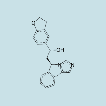 O[C@H](C[C@@H]1c2ccccc2-c2cncn21)c1ccc2c(c1)CCO2